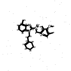 COc1c(C)cnc(C[S+]([O-])c2nc3c(C)cccc3n2CCC2=CCCCC2)c1C